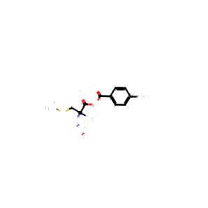 CC(C)(C)SCC(C)(N=C=O)C(=O)OC(=O)c1ccc([N+](=O)[O-])cc1